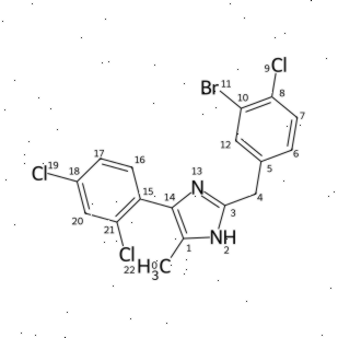 Cc1[nH]c(Cc2ccc(Cl)c(Br)c2)nc1-c1ccc(Cl)cc1Cl